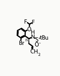 C=CC[C@H](N[S+]([O-])C(C)(C)C)c1c(Br)cccc1OC(F)F